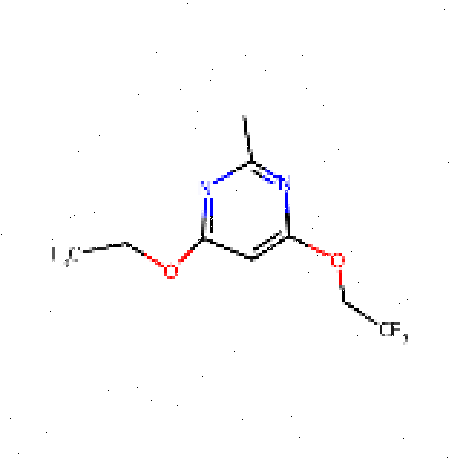 Cc1nc(OCC(F)(F)F)cc(OCC(F)(F)F)n1